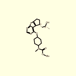 C[C@@H](O)C[C@H]1CCc2sc3ncnc(OC4CCC(N(C)C(=O)OC(C)(C)C)CC4)c3c21